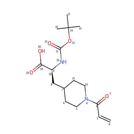 C=CC(=O)N1CCC(C[C@H](NC(=O)OC(C)(C)C)C(=O)O)CC1